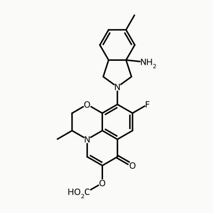 CC1=CC2(N)CN(c3c(F)cc4c(=O)c(OC(=O)O)cn5c4c3OCC5C)CC2C=C1